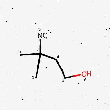 [C-]#[N+]C(C)(C)CCO